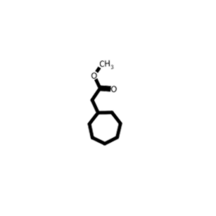 COC(=O)CC1CCCCCC1